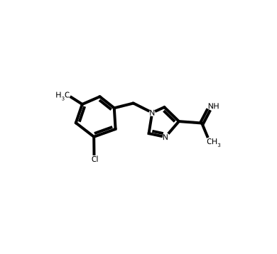 CC(=N)c1cn(Cc2cc(C)cc(Cl)c2)cn1